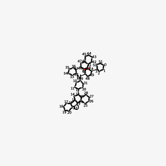 c1ccc(-c2ccc(N(c3ccc(-c4cc5c6ccccc6oc5c5ccccc45)cc3)c3ccccc3-c3ccc4ccccc4c3)cc2)cc1